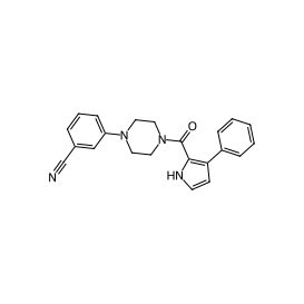 N#Cc1cccc(N2CCN(C(=O)c3[nH]ccc3-c3ccccc3)CC2)c1